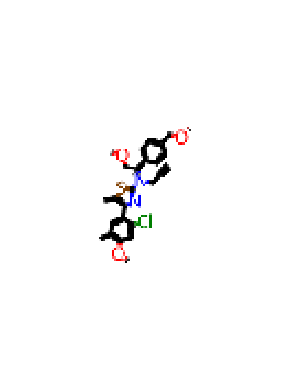 C#CCN(c1nc(-c2cc(C)c(OC)cc2Cl)c(C)s1)[C@@H](COC)c1ccc(COC)cc1